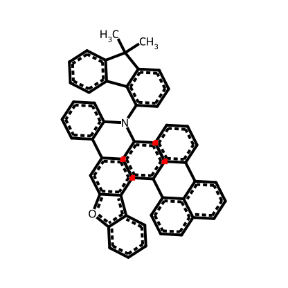 CC1(C)c2ccccc2-c2c(N(c3ccc(-c4cccc5cccc(-c6ccccc6)c45)cc3)c3ccccc3-c3ccc4c(c3)oc3ccccc34)cccc21